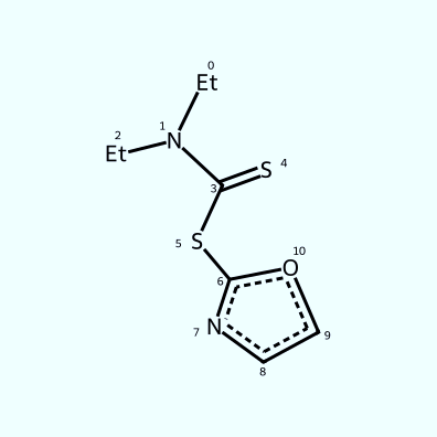 CCN(CC)C(=S)Sc1ncco1